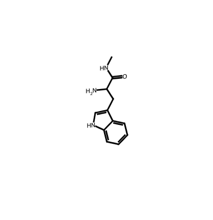 CNC(=O)C(N)Cc1c[nH]c2ccccc12